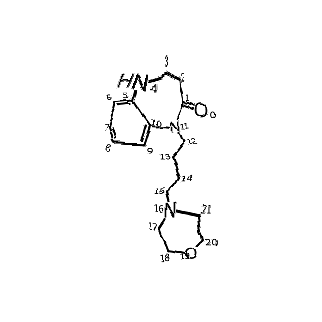 O=C1CCNc2ccccc2N1CCCCN1CCOCC1